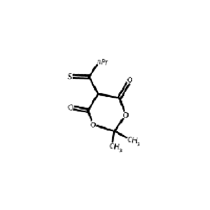 CCCC(=S)C1C(=O)OC(C)(C)OC1=O